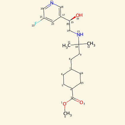 COC(=O)C1CCC(CCC(C)(C)NC[C@H](O)c2cncc(F)c2)CC1